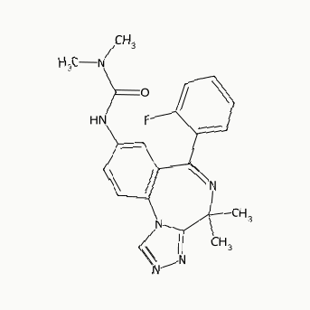 CN(C)C(=O)Nc1ccc2c(c1)C(c1ccccc1F)=NC(C)(C)c1nncn1-2